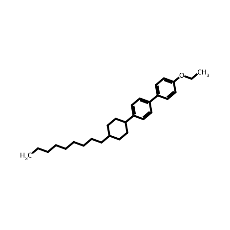 CCCCCCCCCC1CCC(c2ccc(-c3ccc(OCC)cc3)cc2)CC1